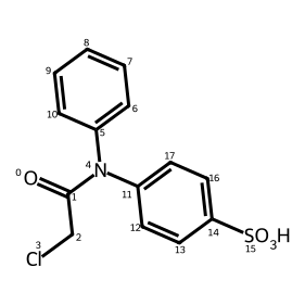 O=C(CCl)N(c1ccccc1)c1ccc(S(=O)(=O)O)cc1